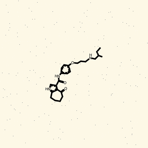 CCC(C)CNCCCOc1ccc(NC(=O)c2c[nH]c3c2C(=O)CCCC3)cc1